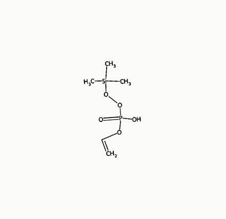 C=COP(=O)(O)OO[Si](C)(C)C